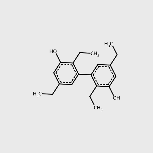 CCc1cc(O)c(CC)c(-c2cc(CC)cc(O)c2CC)c1